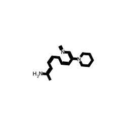 C=N/C=C(\C=C/C/C=C\C=C(\C)N)N1CCCCC1